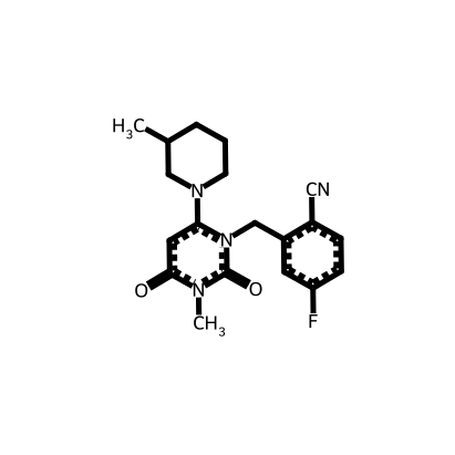 CC1CCCN(c2cc(=O)n(C)c(=O)n2Cc2cc(F)ccc2C#N)C1